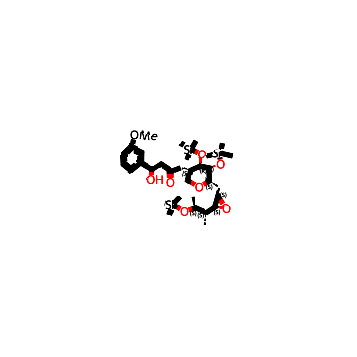 COc1cccc(C(O)CC(=O)C[C@H]2CO[C@@H](C[C@@H]3O[C@H]3[C@H](C)[C@H](C)O[Si](C)(C)C)[C@@H](O[Si](C)(C)C)[C@@H]2O[Si](C)(C)C)c1